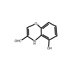 O=CC1=COc2cccc(O)c2N1